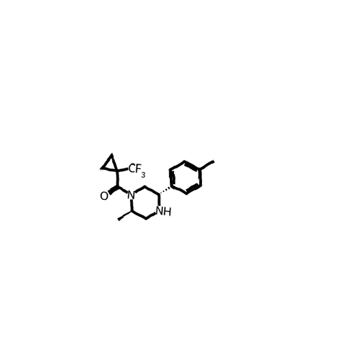 Cc1ccc([C@H]2CN(C(=O)C3(C(F)(F)F)CC3)[C@H](C)CN2)cc1